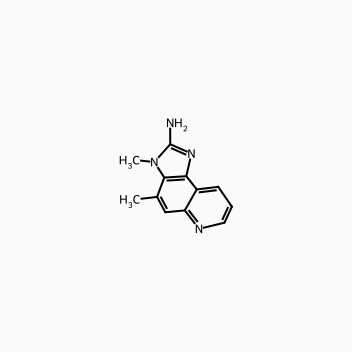 Cc1cc2ncccc2c2nc(N)n(C)c12